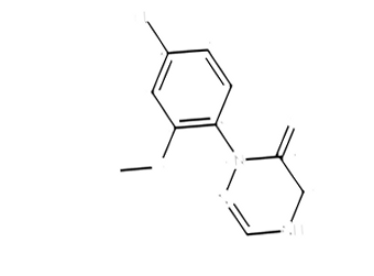 COc1cc(Cl)ccc1N1N=CNCC1=O